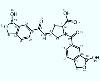 O=C(N[C@H]1C[C@@H](C(=O)O)N(C(=O)c2ccc3c(c2)B(O)OC3)C1)c1ccc2c(c1)B(O)OC2